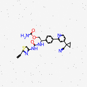 C#Cc1nc(NC(=O)N[C@@H](COC(N)=O)c2ccc(-c3cc(C4(C#N)CC4)ccn3)cc2)cs1